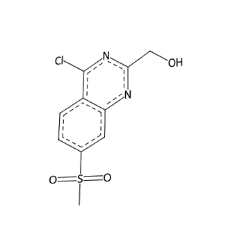 CS(=O)(=O)c1ccc2c(Cl)nc(CO)nc2c1